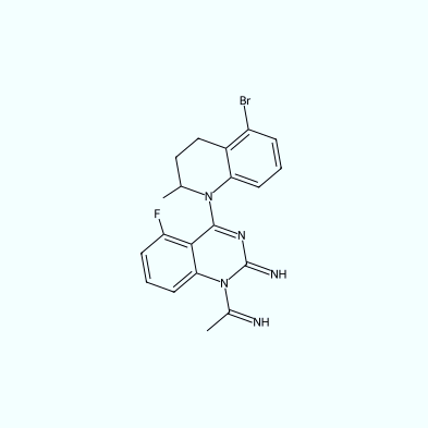 CC(=N)n1c(=N)nc(N2c3cccc(Br)c3CCC2C)c2c(F)cccc21